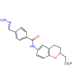 NN=Cc1ccc(C(=O)Nc2ccc3c(c2)CCC(CC(=O)O)O3)cc1